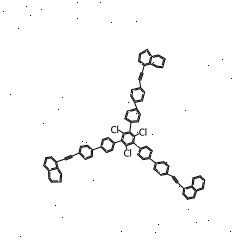 Clc1c(-c2ccc(-c3ccc(C#Cc4cccc5ccccc45)cc3)cc2)c(Cl)c(-c2ccc(-c3ccc(C#Cc4cccc5ccccc45)cc3)cc2)c(Cl)c1-c1ccc(-c2ccc(C#Cc3cccc4ccccc34)cc2)cc1